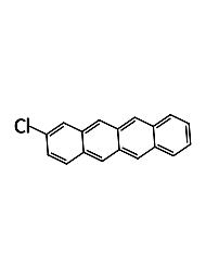 Clc1ccc2cc3cc4ccccc4cc3cc2c1